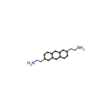 NCCc1ccc2cc3cc(CCN)ccc3cc2c1